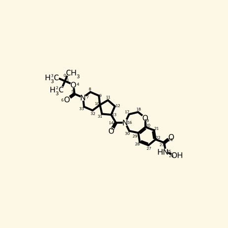 CC(C)(C)OC(=O)N1CCC2(CCC(C(=O)N3CCOc4cc(C(=O)NO)ccc4C3)C2)CC1